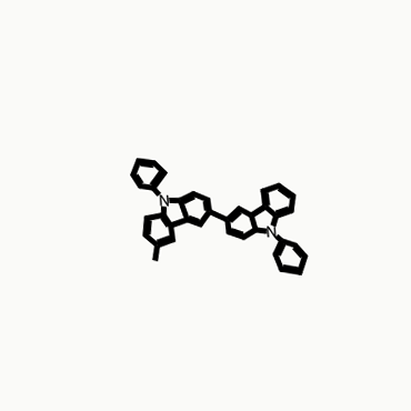 Cc1ccc2c(c1)c1cc(C3=CC4c5ccccc5N(c5ccccc5)C4C=C3)ccc1n2-c1ccccc1